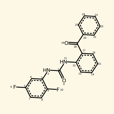 O=C(Nc1cc(F)ccc1F)Nc1ccccc1C(=O)c1ccccc1